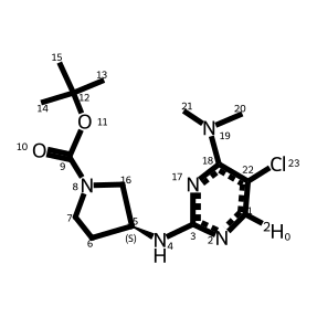 [2H]c1nc(N[C@H]2CCN(C(=O)OC(C)(C)C)C2)nc(N(C)C)c1Cl